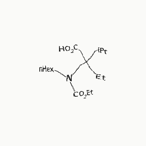 CCCCCCN(C(=O)OCC)C(CC)(C(=O)O)C(C)C